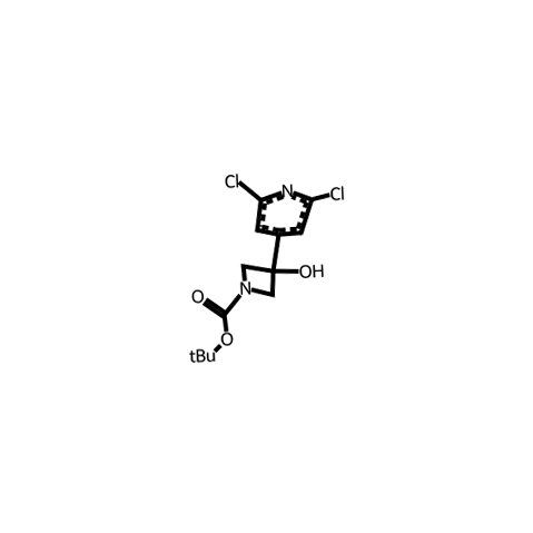 CC(C)(C)OC(=O)N1CC(O)(c2cc(Cl)nc(Cl)c2)C1